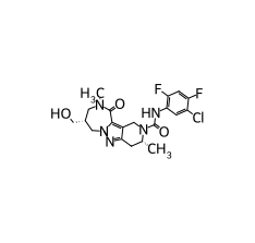 C[C@@H]1Cc2nn3c(c2CN1C(=O)Nc1cc(Cl)c(F)cc1F)C(=O)N(C)C[C@@H](CO)C3